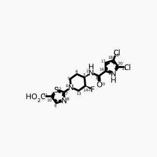 O=C(N[C@@H]1CCN(c2ncc(C(=O)O)s2)C[C@@H]1F)c1cc(Cl)c(Cl)[nH]1